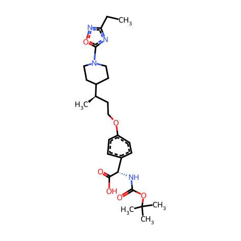 CCc1noc(N2CCC([C@H](C)CCOc3ccc([C@H](NC(=O)OC(C)(C)C)C(=O)O)cc3)CC2)n1